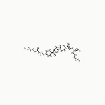 CCCCC(=O)NCCc1ccc(S(=O)(=O)NC(=O)c2ccc(C(=O)OCC(C)CCCC)nc2)cc1